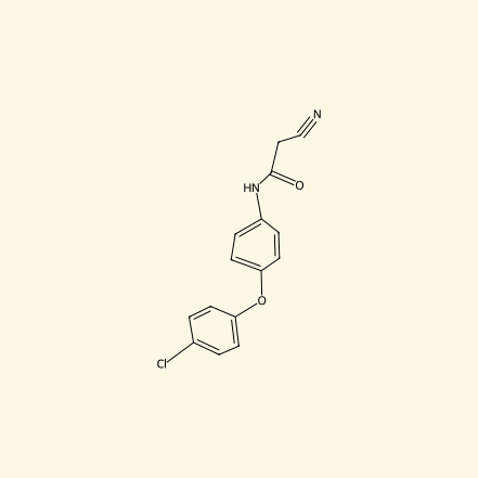 N#CCC(=O)Nc1ccc(Oc2ccc(Cl)cc2)cc1